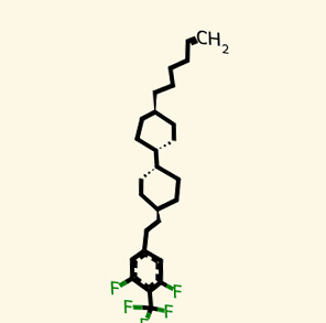 C=CCCCC[C@H]1CC[C@H]([C@H]2CC[C@H](CCc3cc(F)c(C(F)(F)F)c(F)c3)CC2)CC1